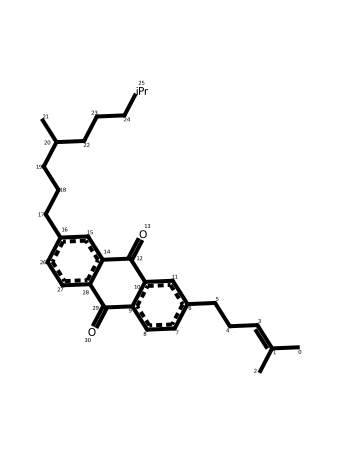 CC(C)=CCCc1ccc2c(c1)C(=O)c1cc(CCCC(C)CCCC(C)C)ccc1C2=O